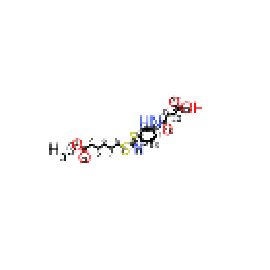 COC(=O)CCCCCSc1nc2ccc(NC(=O)CCC(=O)O)cc2s1